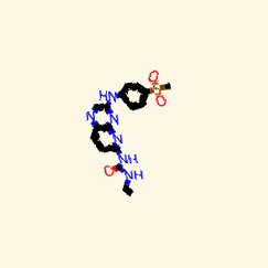 CCNC(=O)Nc1ccc2ncc(Nc3ccc(S(C)(=O)=O)cc3)nc2n1